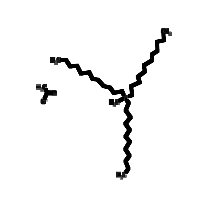 CC(=O)[O-].CCCCCCCCCCCC[N+](C)(CCCCCCCCCCCC)CCCCCCCCCCCC